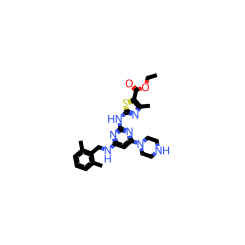 CCOC(=O)c1sc(Nc2nc(NCc3c(C)cccc3C)cc(N3CCNCC3)n2)nc1C